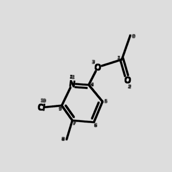 CC(=O)Oc1ccc(C)c(Cl)n1